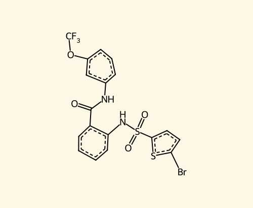 O=C(Nc1cccc(OC(F)(F)F)c1)c1ccccc1NS(=O)(=O)c1ccc(Br)s1